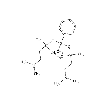 C[SiH](C)CC[Si](C)(C)O[Si](C)(O[Si](C)(C)CC[SiH](C)C)c1ccccc1